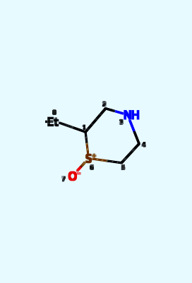 C[CH]C1CNCC[S+]1[O-]